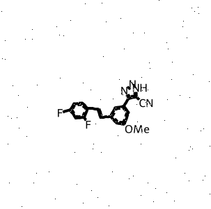 COc1cc(/C=C/c2ccc(F)cc2F)cc(-c2nn[nH]c2C#N)c1